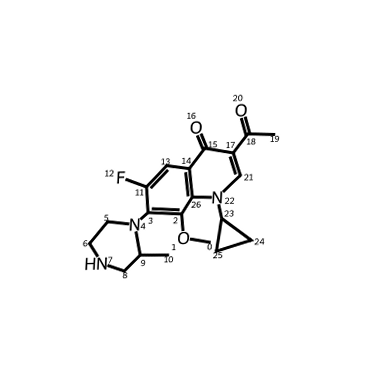 COc1c(N2CCNCC2C)c(F)cc2c(=O)c(C(C)=O)cn(C3CC3)c12